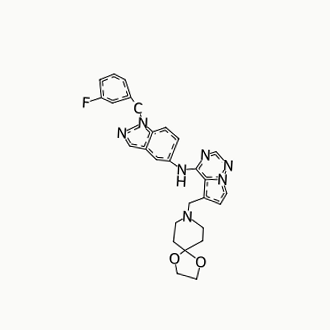 Fc1cccc(Cn2ncc3cc(Nc4ncnn5ccc(CN6CCC7(CC6)OCCO7)c45)ccc32)c1